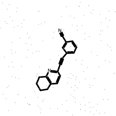 N#Cc1cccc(C#Cc2ccc3c(n2)CCCC3)c1